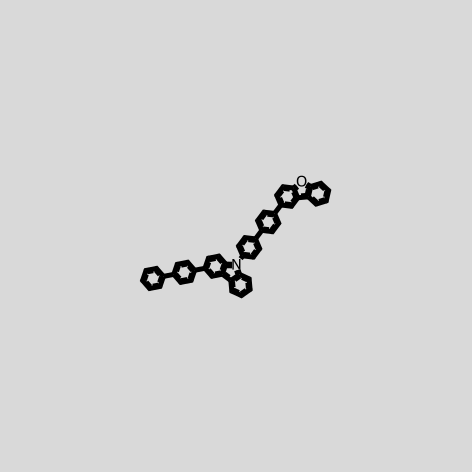 c1ccc(-c2ccc(-c3ccc4c(c3)c3ccccc3n4-c3ccc(-c4ccc(-c5ccc6oc7ccccc7c6c5)cc4)cc3)cc2)cc1